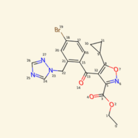 CCOC(=O)c1noc(C2CC2)c1C(=O)c1ccc(Br)cc1Cn1cncn1